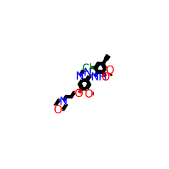 C#Cc1cc(Cl)c(Nc2ncnc3cc(OCCCN4CCOCC4)c(OC)cc23)c2c1OCO2